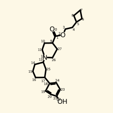 O=C(OCCC1CCC1)C1CCN(C2CCCC(c3ccc(O)cc3)C2)CC1